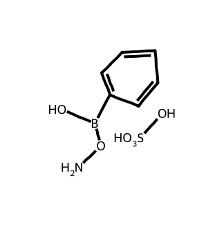 NOB(O)c1ccccc1.O=S(=O)(O)O